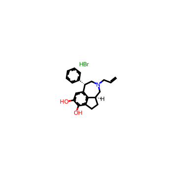 Br.C=CCN1C[C@H]2CCc3c(O)c(O)cc(c32)[C@H](c2ccccc2)C1